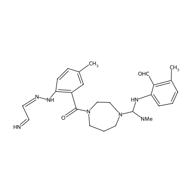 CNC(Nc1cccc(C)c1C=O)N1CCCN(C(=O)c2cc(C)ccc2N/N=C\C=N)CC1